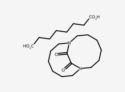 O=C(O)CCCCCCC(=O)O.O=C1C(=O)N2CCCCCCN1CCCCCC2